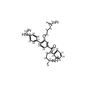 CCCN(C)CCCOc1cc(C(=O)N2CC[C@H](C)Nc3ccccc32)ccc1-c1ccc(NC(C)C)cc1